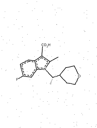 Cc1c(C(=O)O)c2ccc(F)cc2n1[C@@H](C)C1CCOCC1